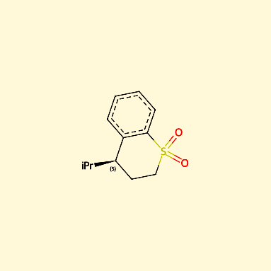 CC(C)[C@@H]1CCS(=O)(=O)c2ccccc21